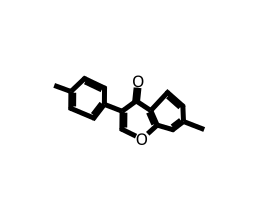 Cc1ccc(-c2coc3cc(C)ccc3c2=O)cc1